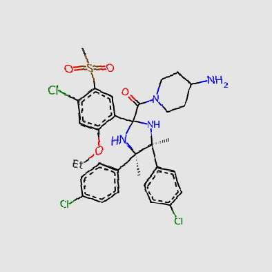 CCOc1cc(Cl)c(S(C)(=O)=O)cc1C1(C(=O)N2CCC(N)CC2)N[C@@](C)(c2ccc(Cl)cc2)[C@@](C)(c2ccc(Cl)cc2)N1